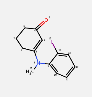 CN(C1=CC(=O)CCC1)c1ccccc1I